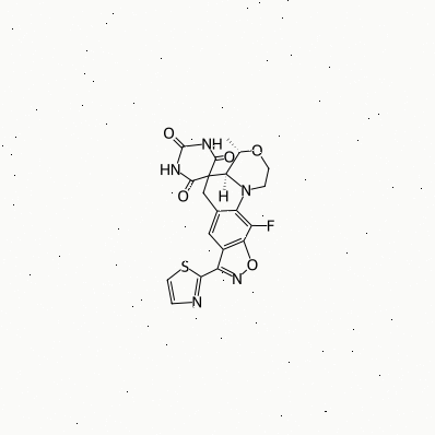 C[C@@H]1OCCN2c3c(cc4c(-c5nccs5)noc4c3F)CC3(C(=O)NC(=O)NC3=O)[C@@H]12